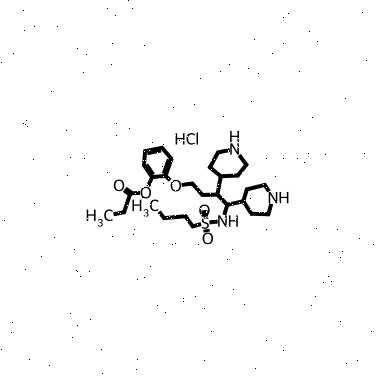 CCCCS(=O)(=O)NC(C1CCNCC1)C(CCOc1ccccc1OC(=O)CC)C1CCNCC1.Cl